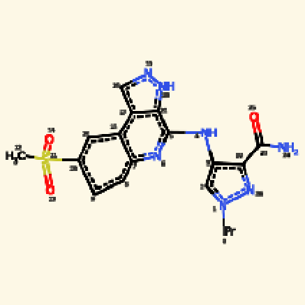 CC(C)n1cc(Nc2nc3ccc(S(C)(=O)=O)cc3c3cn[nH]c23)c(C(N)=O)n1